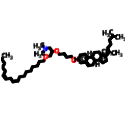 CCCCC/C=C\C/C=C\CCCCCCCCOCC(CN(C)C)OCCCCOC1CC[C@@]2(C)C(=CC[C@H]3[C@@H]4CC[C@H]([C@H](C)CCCC(C)C)[C@@]4(C)CC[C@@H]32)C1